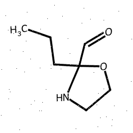 CCCC1(C=O)NCCO1